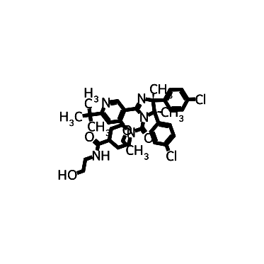 CCOc1cc(C(C)(C)C)ncc1C1=N[C@@](C)(c2ccc(Cl)cc2)[C@@](C)(c2ccc(Cl)cc2)N1C(=O)N1CCC(C(=O)NCCO)CC1